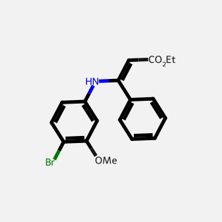 CCOC(=O)/C=C(/Nc1ccc(Br)c(OC)c1)c1ccccc1